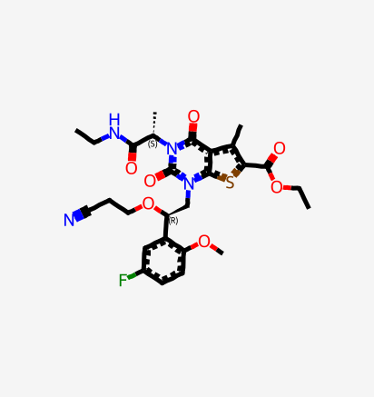 CCNC(=O)[C@H](C)n1c(=O)c2c(C)c(C(=O)OCC)sc2n(C[C@H](OCCC#N)c2cc(F)ccc2OC)c1=O